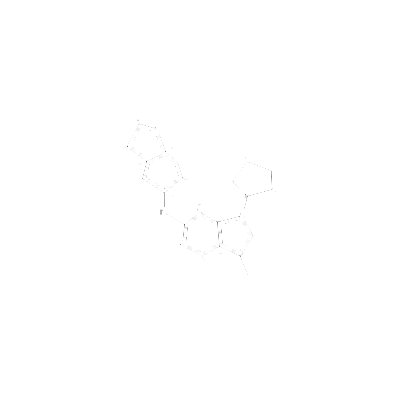 Cc1cn(C2CCCC2)c2nc(Nc3ccc4[nH]ccc4c3)ncc12